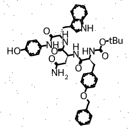 CC(C)(C)OC(=O)N[C@@H](Cc1ccc(OCc2ccccc2)cc1)C(=O)N[C@@H](CC(N)=O)C(=O)N[C@@H](Cc1c[nH]c2ccccc12)C(=O)Nc1ccc(O)cc1